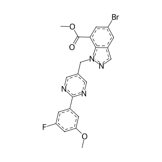 COC(=O)c1cc(Br)cc2cnn(Cc3cnc(-c4cc(F)cc(OC)c4)nc3)c12